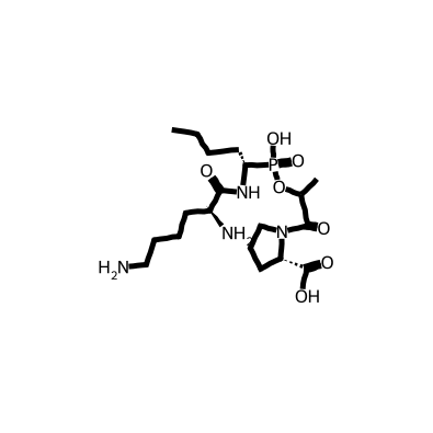 CCCC[C@@H](NC(=O)[C@@H](N)CCCCN)P(=O)(O)OC(C)C(=O)N1CCC[C@H]1C(=O)O